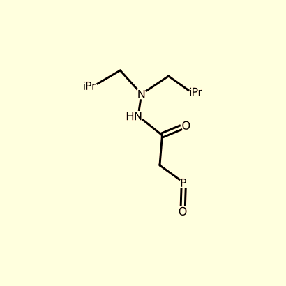 CC(C)CN(CC(C)C)NC(=O)CP=O